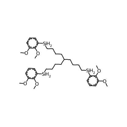 COc1cccc([SiH2]CCCCC(CCCC[SiH2]c2cccc(OC)c2OC)CCCC[SiH2]c2cccc(OC)c2OC)c1OC